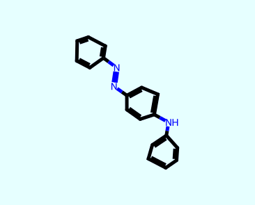 c1ccc(N=Nc2ccc(Nc3ccccc3)cc2)cc1